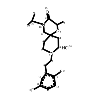 CC1OC2(CCN(CCc3cc(F)ccc3F)CC2)CN(C(C)C)C1=O.Cl